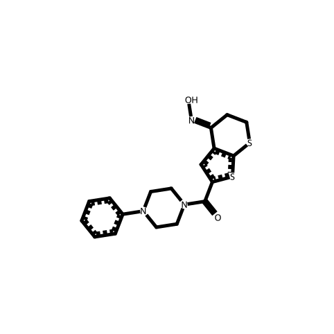 O=C(c1cc2c(s1)SCCC2=NO)N1CCN(c2ccccc2)CC1